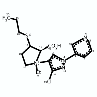 CC[N+]1(c2cn(-c3cccnc3)nc2Cl)CCC(SCCC(F)(F)F)[C@H]1C(=O)O